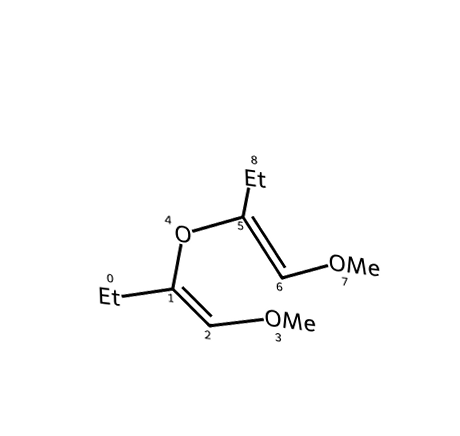 CCC(=COC)OC(=COC)CC